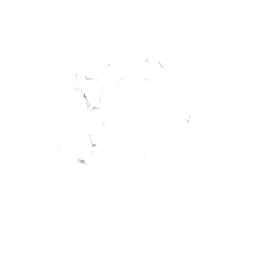 COc1cc2ncnc(Nc3cc(Cl)ccc3CCC(=O)N[C@H](CC3CCCCC3)C(=O)O)c2cc1OCCCN